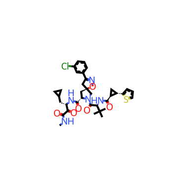 CNC(=O)C(=O)[C@H](CC1CC1)NC(=O)[C@@H]1C[C@]2(CC(c3cccc(Cl)c3)=NO2)CN1C(=O)[C@@H](NC(=O)[C@H]1C[C@@H]1c1cccs1)C(C)(C)C